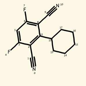 N#Cc1c(F)cc(F)c(C#N)c1C1CCCCC1